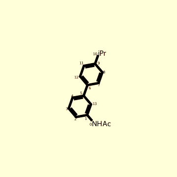 CC(=O)Nc1cccc(-c2ccc(C(C)C)cc2)c1